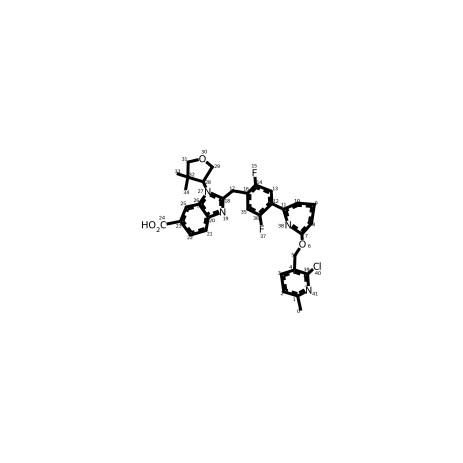 Cc1ccc(COc2cccc(-c3cc(F)c(Cc4nc5ccc(C(=O)O)cc5n4C4COCC4(C)C)cc3F)n2)c(Cl)n1